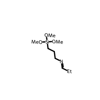 CCC=NCCC[Si](OC)(OC)OC